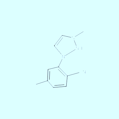 CN1C=CN(c2cc(F)ccc2C#N)N1